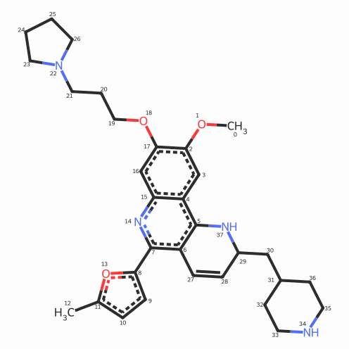 COc1cc2c3c(c(-c4ccc(C)o4)nc2cc1OCCCN1CCCC1)C=CC(CC1CCNCC1)N3